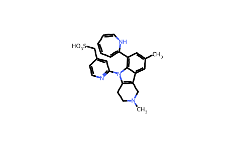 Cc1cc(C2=CC=CC=CN2)c2c(c1)c1c(n2-c2cc(CS(=O)(=O)O)ccn2)CCN(C)C1